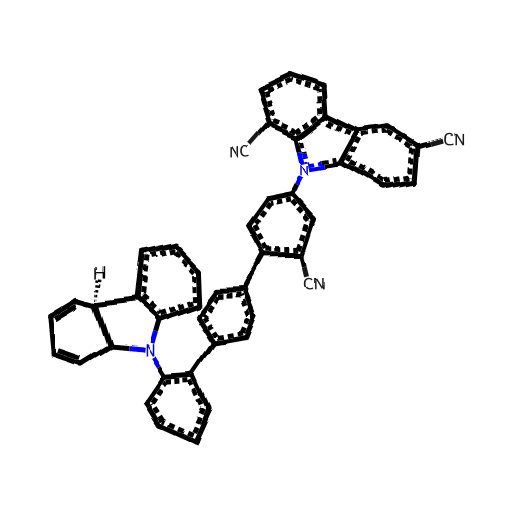 N#Cc1ccc2c(c1)c1cccc(C#N)c1n2-c1ccc(-c2ccc(-c3ccccc3N3c4ccccc4[C@@H]4C=CC=CC43)cc2)c(C#N)c1